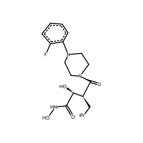 CC(C)C[C@H](C(=O)N1CCN(c2ccccc2F)CC1)[C@H](O)C(=O)NO